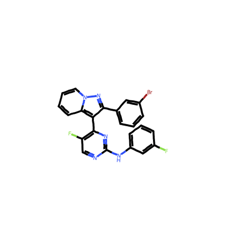 Fc1cccc(Nc2ncc(F)c(-c3c(-c4cccc(Br)c4)nn4ccccc34)n2)c1